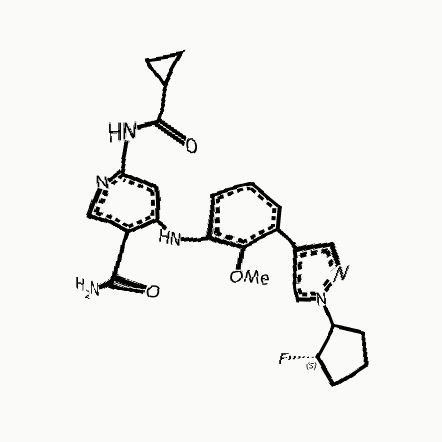 COc1c(Nc2cc(NC(=O)C3CC3)ncc2C(N)=O)cccc1-c1cnn(C2CCC[C@@H]2F)c1